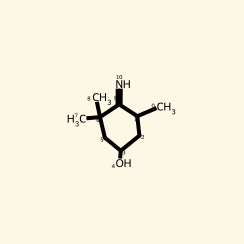 CC1CC(O)CC(C)(C)C1=N